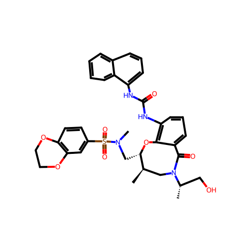 C[C@@H]1CN([C@@H](C)CO)C(=O)c2cccc(NC(=O)Nc3cccc4ccccc34)c2O[C@H]1CN(C)S(=O)(=O)c1ccc2c(c1)OCCO2